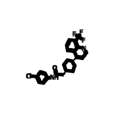 O=C(C[C@H]1CC[C@@H](c2ccnc3c(C(F)(F)F)cccc32)CC1)Nc1ccc(Cl)cc1